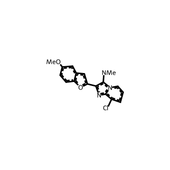 CNc1c(-c2cc3cc(OC)ccc3o2)nc2c(Cl)cccn12